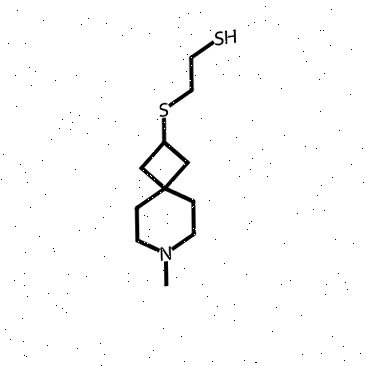 CN1CCC2(CC1)CC(SCCS)C2